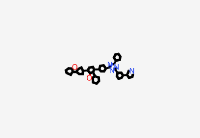 c1ccc(-c2nc(-c3ccc(-c4ccc(-c5ccc6c(c5)oc5ccccc56)c5oc6ccccc6c45)cc3)nc(-c3cccc(-c4cccnc4)c3)n2)cc1